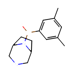 Cc1cc(C)cc([S+]([O-])N2C3CCC2CNC3)c1